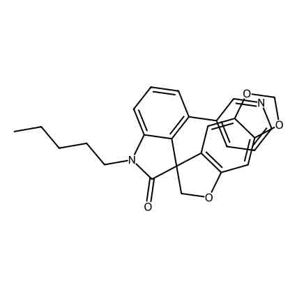 CCCCCN1C(=O)C2(COc3cc4c(cc32)OCO4)c2c(-c3cccnc3)cccc21